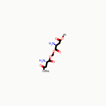 COC(=O)C[C@H](N)C(=O)OCOC(=O)[C@@H](N)CC(=O)OC(C)C